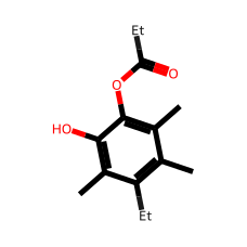 CCC(=O)Oc1c(C)c(C)c(CC)c(C)c1O